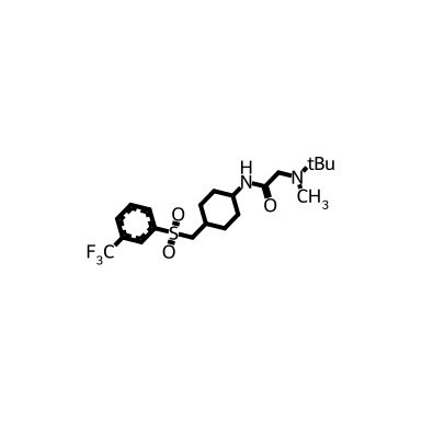 CN(CC(=O)NC1CCC(CS(=O)(=O)c2cccc(C(F)(F)F)c2)CC1)C(C)(C)C